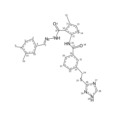 Cc1ccc(/C=N/NC(=O)c2c(C)csc2NC(=O)c2cccc(CSc3nc[nH]n3)c2)cc1C